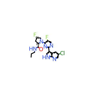 CCCNC(=O)[C@H]1C[C@H](F)CN1c1nc(-c2c[nH]c3ncc(Cl)cc23)ncc1F